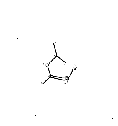 CC(=O)Br.CC(=O)OC(C)C